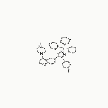 CN1CCN(c2ccnc3ccc(-c4cn(C(c5ccccc5)(c5ccccc5)c5ccccc5)nc4-c4ccc(F)cc4)cc23)CC1